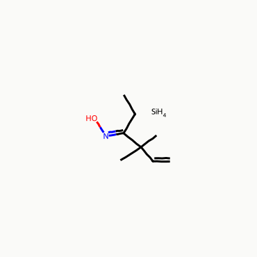 C=CC(C)(C)C(CC)=NO.[SiH4]